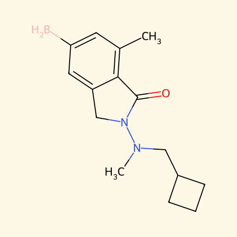 Bc1cc(C)c2c(c1)CN(N(C)CC1CCC1)C2=O